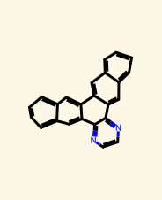 c1ccc2cc3c(cc2c1)c1cc2ccccc2cc1c1nccnc31